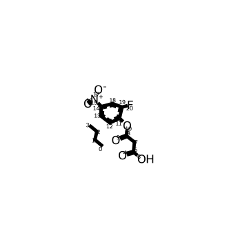 CCCC.O=C(O)CC(=O)Oc1ccc([N+](=O)[O-])cc1F